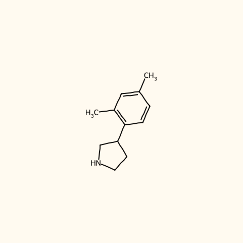 Cc1ccc(C2CCNC2)c(C)c1